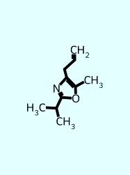 C=CCc1nc(C(C)C)oc1C